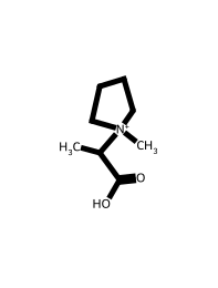 CC(C(=O)O)[N+]1(C)CCCC1